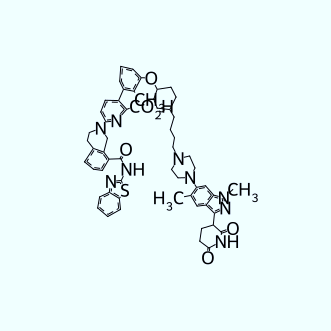 Cc1cc2c(C3CCC(=O)NC3=O)nn(C)c2cc1N1CCN(CCCCC2CCC(Oc3cccc(-c4ccc(N5CCc6cccc(C(=O)Nc7nc8ccccc8s7)c6C5)nc4C(=O)O)c3C)CC2)CC1